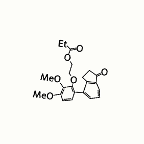 CCC(=O)OCCOc1c(-c2cccc3c2CCC3=O)ccc(OC)c1OC